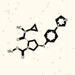 CC(C)(C)OC(=O)N1C[C@H](Sc2ccc(-n3ccnc3)cc2)C[C@H]1C(=O)N(C#N)C1CC1